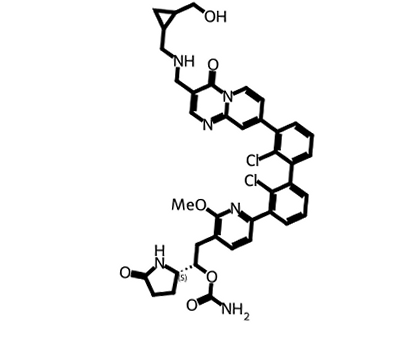 COc1nc(-c2cccc(-c3cccc(-c4ccn5c(=O)c(CNCC6CC6CO)cnc5c4)c3Cl)c2Cl)ccc1CC(OC(N)=O)[C@@H]1CCC(=O)N1